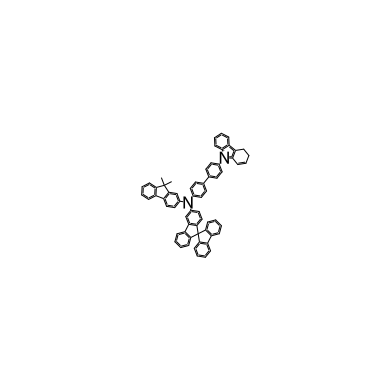 CC1(C)c2ccccc2-c2ccc(N(c3ccc(-c4ccc(-n5c6c(c7ccccc75)CCC=C6)cc4)cc3)c3ccc4c(c3)-c3ccccc3C43c4ccccc4-c4ccccc43)cc21